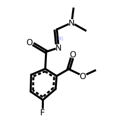 COC(=O)c1cc(F)ccc1C(=O)/N=C/N(C)C